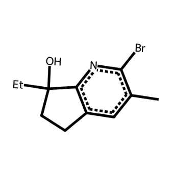 CCC1(O)CCc2cc(C)c(Br)nc21